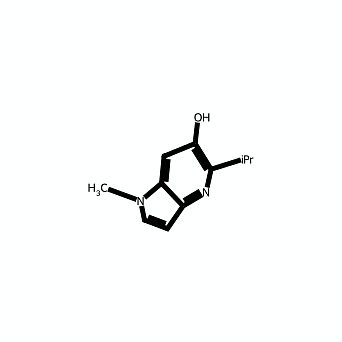 CC(C)c1nc2ccn(C)c2cc1O